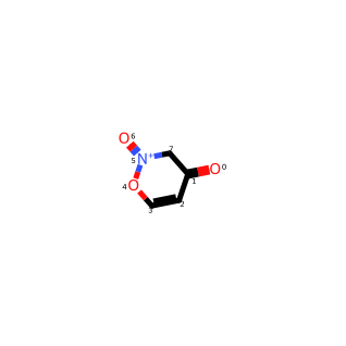 O=C1C=CO[N+](=O)C1